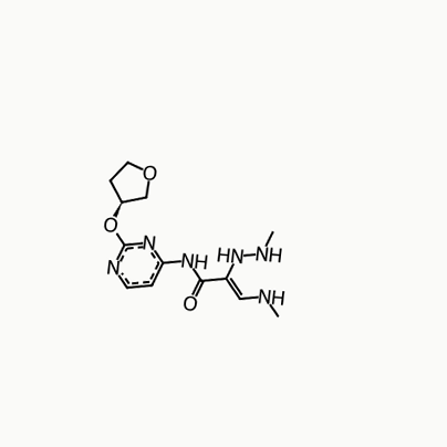 CN/C=C(\NNC)C(=O)Nc1ccnc(O[C@H]2CCOC2)n1